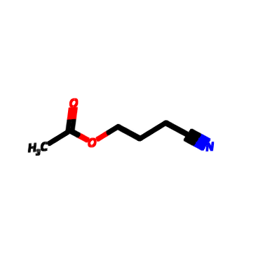 CC(=O)OCCCC#N